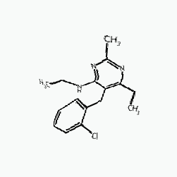 CCNc1nc(C)nc(CC)c1Cc1ccccc1Cl